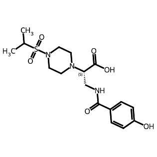 CC(C)S(=O)(=O)N1CCN([C@@H](CNC(=O)c2ccc(O)cc2)C(=O)O)CC1